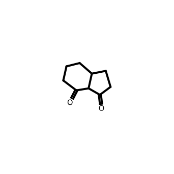 O=C1CCCC2CCC(=O)C12